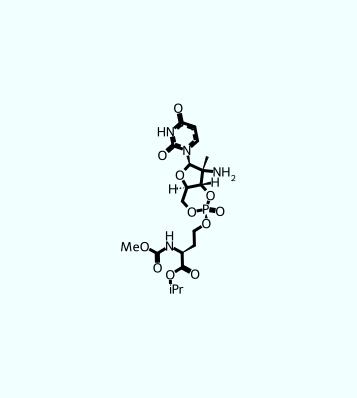 COC(=O)N[C@@H](CCO[P@@]1(=O)OC[C@H]2O[C@@H](n3ccc(=O)[nH]c3=O)[C@](C)(N)[C@@H]2O1)C(=O)OC(C)C